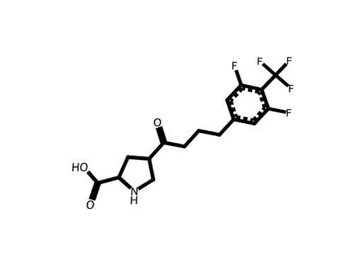 O=C(CCCc1cc(F)c(C(F)(F)F)c(F)c1)C1CNC(C(=O)O)C1